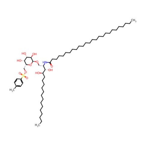 CCCCCCCCCCCCCCCCCCCCCCCCCC(=O)N[C@@H](CO[C@H]1O[C@H](COS(=O)(=O)c2ccc(C)cc2)[C@H](O)[C@H](O)[C@H]1O)[C@H](O)[C@H](O)CCCCCCCCCCCCCC